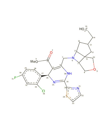 COC(=O)C1=C(CN2C3COCC34CC(CC(=O)O)CC24)NC(c2nccs2)=N[C@H]1c1ccc(F)cc1Cl